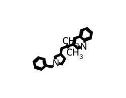 CC(C)(CC1CCN(Cc2ccccc2)C1)c1cnc2ccccc2c1